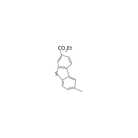 CCOC(=O)c1ccc2c(c1)sc1ccc(C)cc12